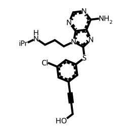 CC(C)NCCCn1c(Sc2cc(Cl)cc(C#CCO)c2)nc2c(N)ncnc21